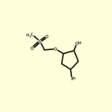 CC(C)C1CC(O)C(OCS(C)(=O)=O)C1